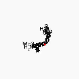 COc1cc(N2CCC(N3CCC(CN4CCN(c5ccc6c(c5)C(=O)N(C5CCC(=O)NC5=O)C6=O)CC4)CC3)CC2)c(-c2cnn(C)c2)cc1N